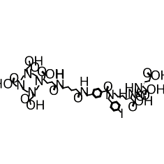 O=C(O)CC[C@@H](NC(=O)N[C@H](CCCCN(Cc1ccc(I)cc1)C(=O)c1ccc(CNC(=O)CCCCNC(=O)CCC(C(=O)O)N2CCN(CC(=O)O)CCN(CC(=O)O)CCN(CC(=O)O)CC2)cc1)C(=O)O)C(=O)O